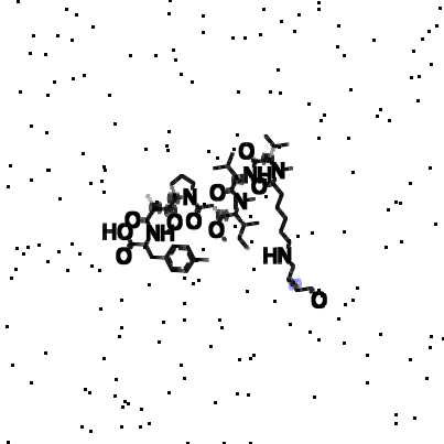 CCC(C)C([C@@H](CC(=O)N1CCC[C@H]1[C@H](OC)[C@@H](C)C(=O)NC(Cc1ccc(C)cc1)C(=O)O)OC)N(C)C(=O)[C@@H](NC(=O)[C@H](C(C)C)N(C)C(=O)CCCCCNC/C=C\C=O)C(C)C